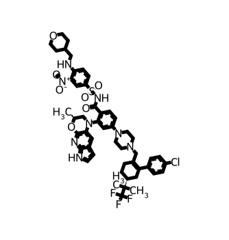 C[C@@H]1CN(c2cc(N3CCN(CC4=C(c5ccc(Cl)cc5)C[C@H](C(C)(C)C(F)(F)F)CC4)CC3)ccc2C(=O)NS(=O)(=O)c2ccc(NCC3CCOCC3)c([N+](=O)[O-])c2)c2cc3cc[nH]c3nc2O1